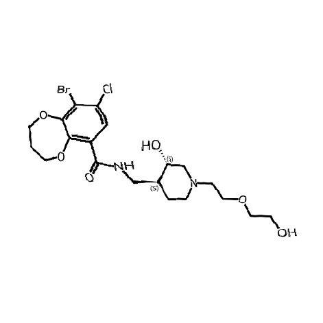 O=C(NC[C@@H]1CCN(CCOCCO)C[C@H]1O)c1cc(Cl)c(Br)c2c1OCCCO2